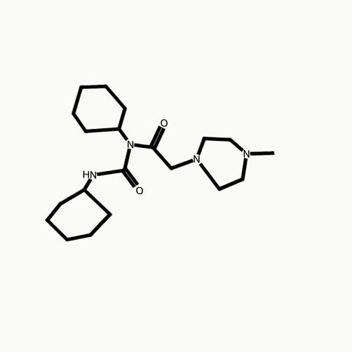 CN1CCN(CC(=O)N(C(=O)NC2CCCCC2)C2CCCCC2)CC1